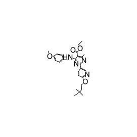 CCOC(=O)c1c(C)nc(-c2ccc(OCCC(C)(C)C)nc2)nc1NCc1ccc(OC)cc1